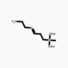 CO[Si](C)(CCC=NCCN)OC